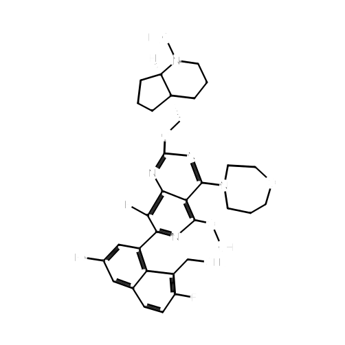 CCc1c(F)ccc2cc(O)cc(-c3nc(OC)c4c(N5CCCOCC5)nc(OC[C@]56CCC[C@H]5N(C)CCC6)nc4c3F)c12